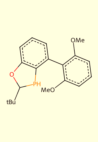 COc1cccc(OC)c1-c1cccc2c1PC(C(C)(C)C)O2